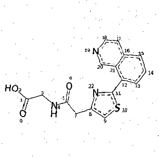 O=C(O)CNC(=O)Cc1csc(-c2cccc3ccncc23)n1